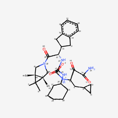 CC1(C)[C@H]2[C@@H](C(=O)NC(CC3CC3)C(=O)C(N)=O)N(C(=O)[C@@H](NC(=O)NC3CCCCC3)C3Cc4ccccc4C3)C[C@H]21